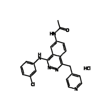 CC(=O)Nc1ccc2c(Cc3ccncc3)nnc(Nc3cccc(Cl)c3)c2c1.Cl